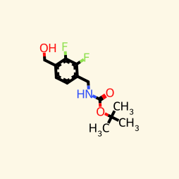 CC(C)(C)OC(=O)NCc1ccc(CO)c(F)c1F